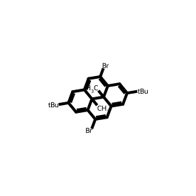 CC(C)(C)C1=CC2=CC(Br)=C3C=C(C(C)(C)C)C=C4C=C(Br)C(=C1)C2(C)C43C